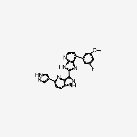 COc1cc(F)cc(-c2ccnc3[nH]c(-c4n[nH]c5ccc(-c6cn[nH]c6)nc45)nc23)c1